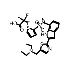 CCN(CC)Cc1cnc(-c2cc3cccc(N(C)S(=O)(=O)c4cccs4)c3[nH]2)s1.O=C(O)C(F)(F)F